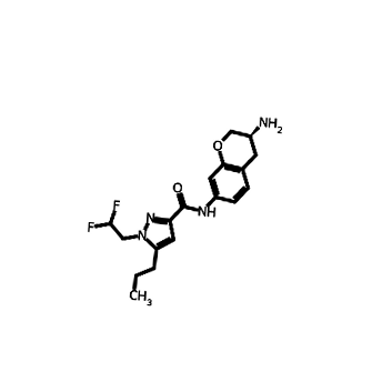 CCCc1cc(C(=O)Nc2ccc3c(c2)OC[C@@H](N)C3)nn1CC(F)F